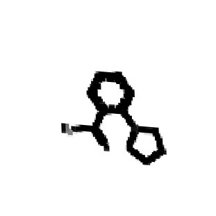 NC(=S)c1ccccc1N1CCCC1